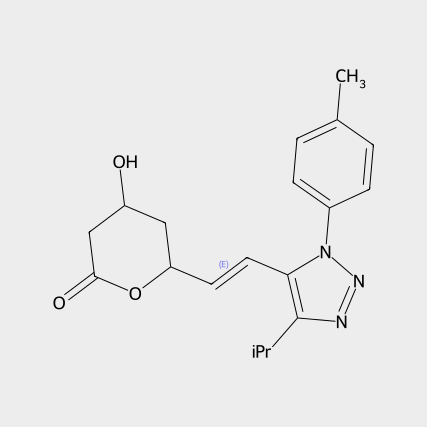 Cc1ccc(-n2nnc(C(C)C)c2/C=C/C2CC(O)CC(=O)O2)cc1